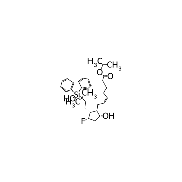 CC(C)OC(=O)CCC/C=C\C[C@@H]1[C@@H](CCC(C)(C)[Si](O)(c2ccccc2)c2ccccc2)[C@@H](F)C[C@@H]1O